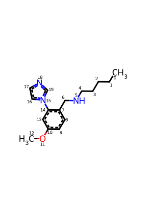 CCCCCNCc1ccc(OC)cc1-n1ccnc1